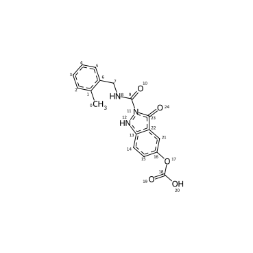 Cc1ccccc1CNC(=O)n1[nH]c2ccc(OC(=O)O)cc2c1=O